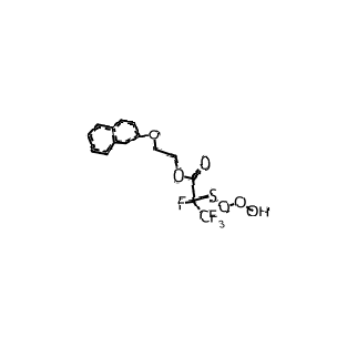 O=C(OCCOc1ccc2ccccc2c1)C(F)(SOOO)C(F)(F)F